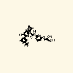 O=C(Nc1nccc(OC[C@H](O)CO)n1)N1c2nc(-c3cccc(C(F)(F)F)c3)c(Cl)cc2N2CCC1C2